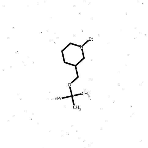 CCCC(C)(C)OCC1CCCN(CC)C1